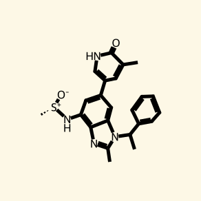 Cc1cc(-c2cc(N[S@+](C)[O-])c3nc(C)n(C(C)c4ccccc4)c3c2)c[nH]c1=O